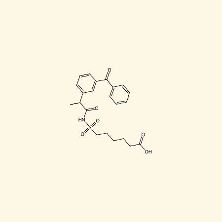 CC(C(=O)NS(=O)(=O)CCCCCC(=O)O)c1cccc(C(=O)c2ccccc2)c1